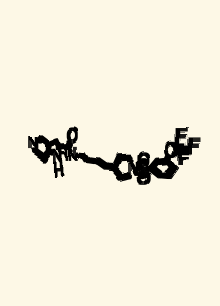 O=C(NCCCCC1CCN(S(=O)(=O)c2cccc(OC(F)(F)F)c2)CC1)C1Cc2cnccc2N1